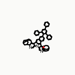 c1ccc(-c2cc(-c3ccccc3)c(-c3ccc4c(c3)cc3c5c6c(ncc5n5c7cnc8c(c7c4c35)C3CC4CC(CC8C4)C3)C3CC4CC(C3)CC6C4)c(-c3ccccc3)c2)cc1